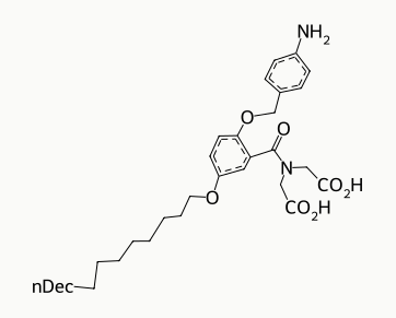 CCCCCCCCCCCCCCCCCCOc1ccc(OCc2ccc(N)cc2)c(C(=O)N(CC(=O)O)CC(=O)O)c1